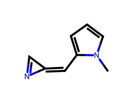 Cn1cccc1/C=C1C=N\1